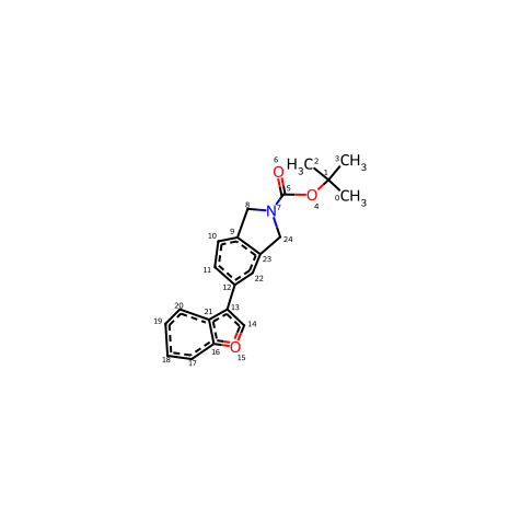 CC(C)(C)OC(=O)N1Cc2ccc(-c3coc4ccccc34)cc2C1